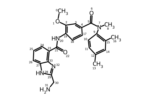 COc1cc(C(=O)N(C)c2ccc(C)cc2C)ccc1NC(=O)c1cccc2[nH]c(CN)nc12